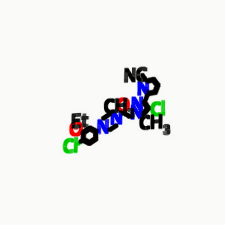 CCOc1cc(N2CCN(C(=O)Cn3nc(-c4cccc(C#N)n4)c(Cl)c3C)C(C)C2)ccc1Cl